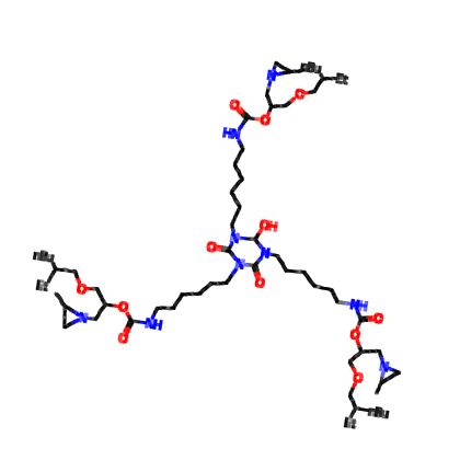 CCCCC(CC)COCC(CN1CC1C)OC(=O)NCCCCCCN1C(=O)N(CCCCCCNC(=O)OC(COCC(CC)CCCC)CN2CC2C)C(O)N(CCCCCCNC(=O)OC(COCC(CC)CCCC)CN2CC2C)C1=O